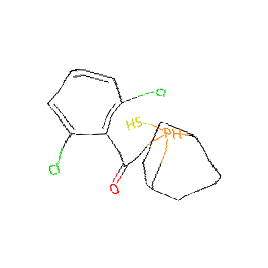 O=C(c1c(Cl)cccc1Cl)[PH]1(S)C2CCC1CC2